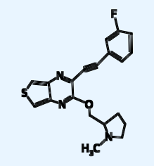 CN1CCCC1COc1nc2cscc2nc1C#Cc1cccc(F)c1